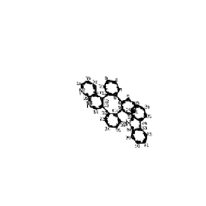 c1ccc2c(c1)-c1ccccc1-c1c(cnc3ncccc13)-c1cccc(-n3c4ccccc4c4ccccc43)c1-2